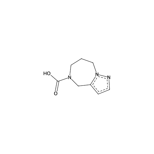 O=C(O)N1CCCn2nccc2C1